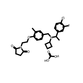 Cc1cc(CN(C2CCC2)C(C)c2ccc(Cl)c(F)c2)ccc1OCCN1C(=O)CCC1=O.O=C(O)O